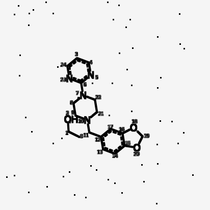 CCO.c1cnc(N2CCN(Cc3ccc4c(c3)OCO4)CC2)nc1